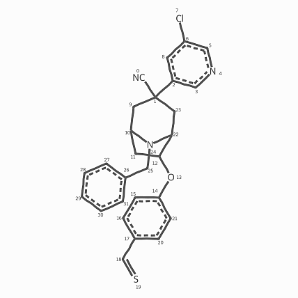 N#CC1(c2cncc(Cl)c2)CC2CC(Oc3ccc(C=S)cc3)C(C1)N2Cc1ccccc1